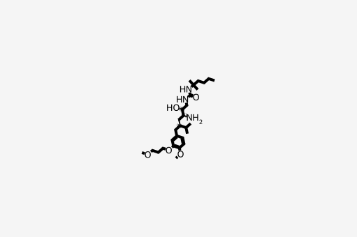 CCCCC(C)(C)NC(=O)NC[C@H](O)[C@@H](N)C[C@H](Cc1ccc(OC)c(OCCCOC)c1)C(C)C